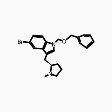 CN1CCC[C@@H]1Cc1cn(COCc2ccccc2)c2ccc(Br)cc12